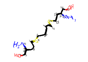 NC(CO)CCSCCCCSCCC(N)CO